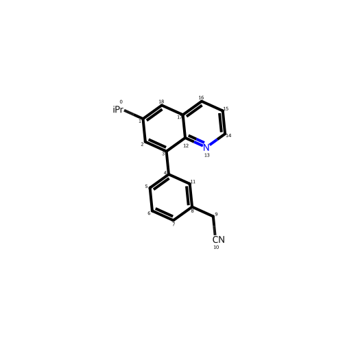 CC(C)c1cc(-c2cccc(CC#N)c2)c2ncccc2c1